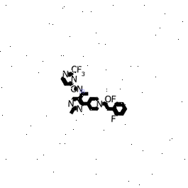 C/C(=N/Oc1ccnc(C(F)(F)F)n1)c1cnc(C)nc1C1CCN(C(=O)Cc2c(F)cccc2F)CC1